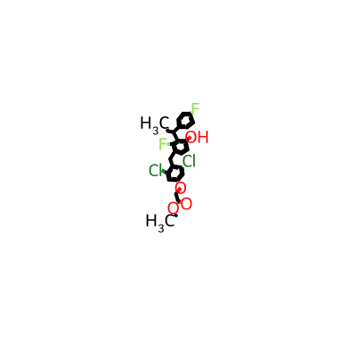 CCOC(=O)COc1cc(Cl)c(Cc2ccc(O)c(C(CC)c3ccc(F)cc3)c2F)c(Cl)c1